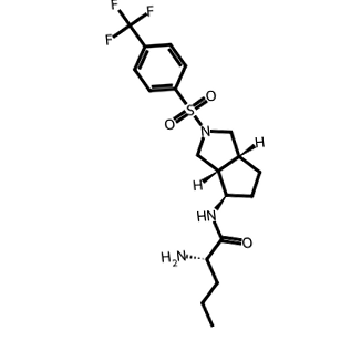 CCC[C@H](N)C(=O)N[C@@H]1CC[C@H]2CN(S(=O)(=O)c3ccc(C(F)(F)F)cc3)C[C@H]21